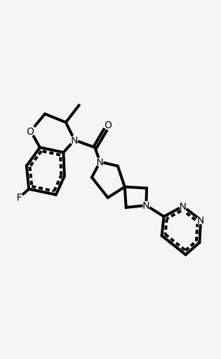 CC1COc2cc(F)ccc2N1C(=O)N1CCC2(C1)CN(c1cccnn1)C2